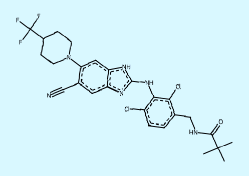 CC(C)(C)C(=O)NCc1ccc(Cl)c(Nc2nc3cc(C#N)c(N4CCC(C(F)(F)F)CC4)cc3[nH]2)c1Cl